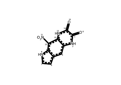 O=c1[nH]c2cc3cc[nH]c3c([N+](=O)[O-])c2[nH]c1=O